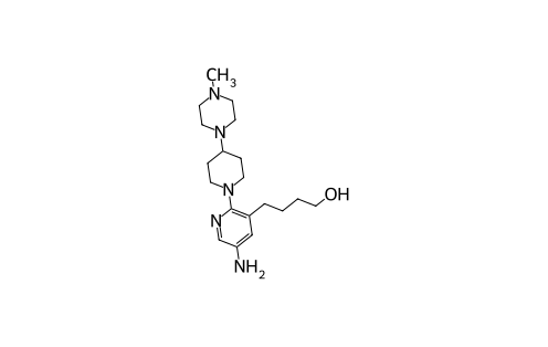 CN1CCN(C2CCN(c3ncc(N)cc3CCCCO)CC2)CC1